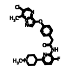 Cc1c(Cl)cnc2c(Oc3ccc(CC(=O)Nc4nc(C5CCN(C)CC5)ccc4F)cc3)cnn12